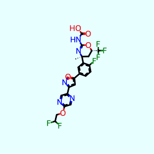 C[C@@]1(c2cc(-c3cc(-c4cnc(OCC(F)F)cn4)no3)ccc2F)C[C@@H](C(F)(F)F)OC(NC(=O)O)=N1